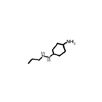 CCCNNC1CCC(N)CC1